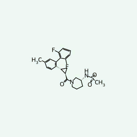 Cc1ccc([C@@H]2C[C@H]2C(=O)N2CCC[C@@H](NS(C)(=O)=O)C2)c(-c2c(F)cccc2F)c1